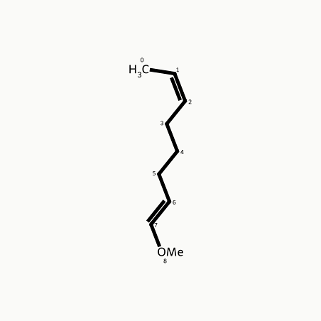 C/C=C\CCCC=COC